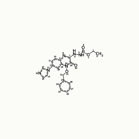 CCOC(=O)NNc1nc2ccc(-n3ccnc3)cc2n(OCc2ccccc2)c1=O